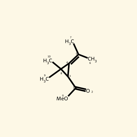 COC(=O)C1C(=C(C)C)C1(C)C